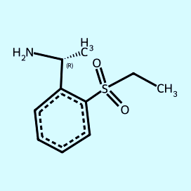 CCS(=O)(=O)c1ccccc1[C@@H](C)N